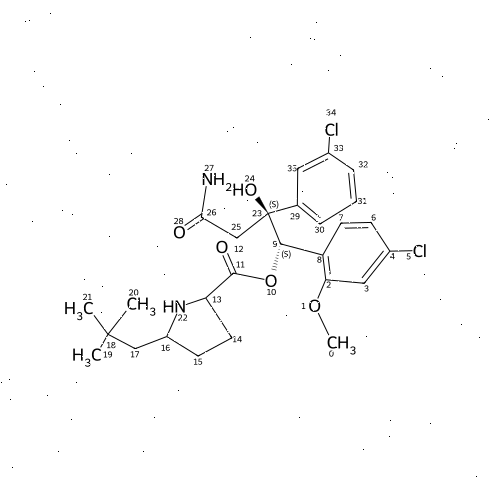 COc1cc(Cl)ccc1[C@H](OC(=O)C1CCC(CC(C)(C)C)N1)[C@](O)(CC(N)=O)c1cccc(Cl)c1